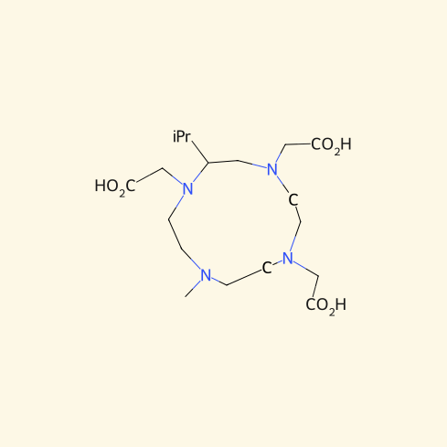 CC(C)C1CN(CC(=O)O)CCN(CC(=O)O)CCN(C)CCN1CC(=O)O